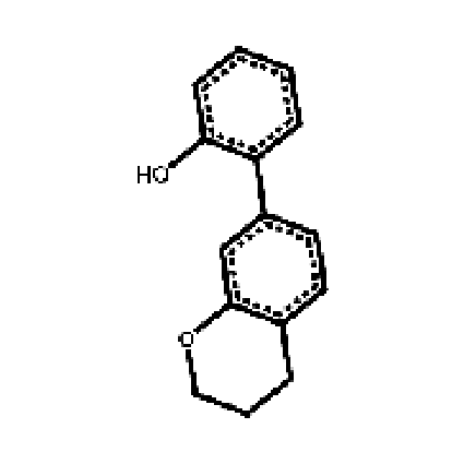 Oc1ccccc1-c1ccc2c(c1)OCCC2